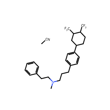 CC#N.CN(CCCc1ccc(C2CCC(C(F)(F)F)C(C(F)(F)F)C2)cc1)CCc1ccccc1